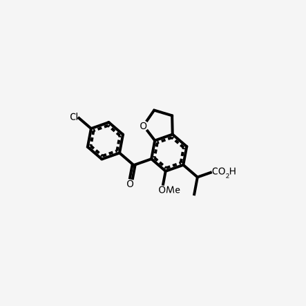 COc1c(C(C)C(=O)O)cc2c(c1C(=O)c1ccc(Cl)cc1)OCC2